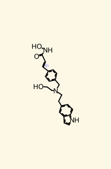 O=C(/C=C/c1ccc(CN(CCO)CCc2ccc3[nH]ccc3c2)cc1)NO